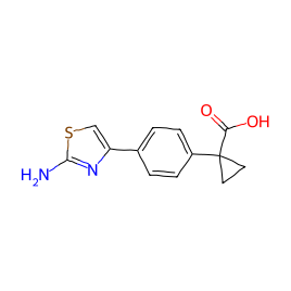 Nc1nc(-c2ccc(C3(C(=O)O)CC3)cc2)cs1